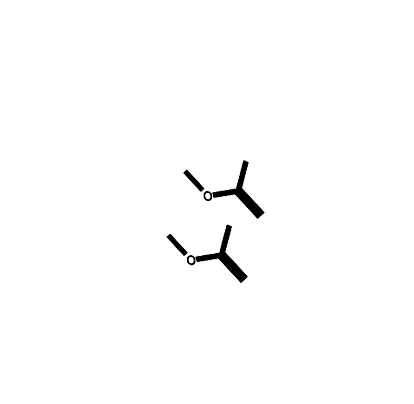 C=C(C)OC.C=C(C)OC